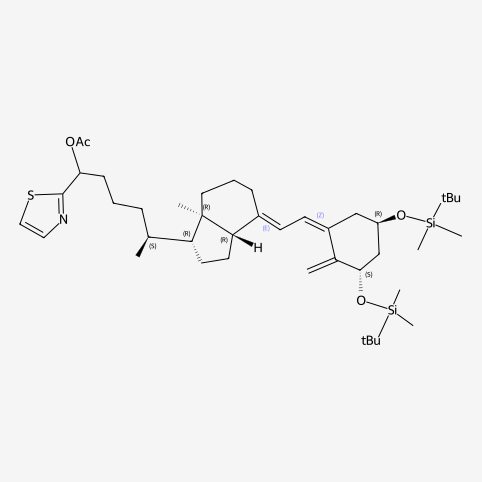 C=C1/C(=C\C=C2/CCC[C@]3(C)[C@@H]([C@@H](C)CCCC(OC(C)=O)c4nccs4)CC[C@@H]23)C[C@@H](O[Si](C)(C)C(C)(C)C)C[C@@H]1O[Si](C)(C)C(C)(C)C